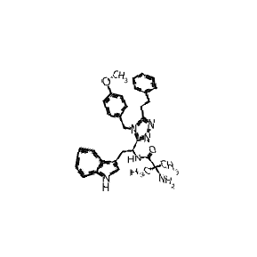 COc1ccc(Cn2c(CCc3ccccc3)nnc2C(Cc2c[nH]c3ccccc23)NC(=O)C(C)(C)N)cc1